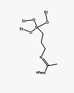 CCCCCC(C)=NCCC[Si](OCC)(OCC)OCC